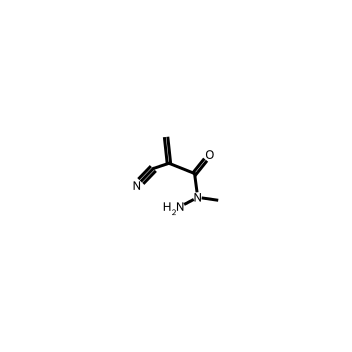 C=C(C#N)C(=O)N(C)N